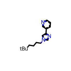 CC(C)(C)CCCCn1cnc(-c2cccnc2)c1